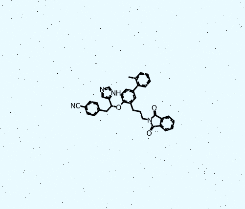 Cc1ccccc1-c1ccc(OC(Cc2ccc(C#N)cc2)c2cnc[nH]2)c(CCCN2C(=O)c3ccccc3C2=O)c1